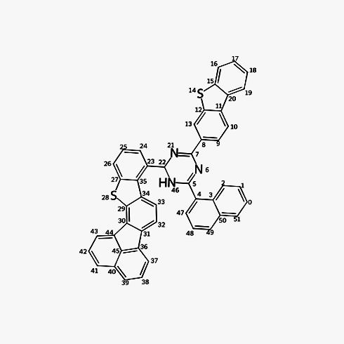 c1ccc2c(C3=NC(c4ccc5c(c4)sc4ccccc45)=NC(c4cccc5sc6c7c(ccc6c45)-c4cccc5cccc-7c45)N3)cccc2c1